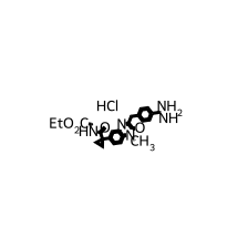 CCOC(=O)CNC(=O)C1(c2ccc3c(c2)nc(Cc2ccc(C(=N)N)cc2)c(=O)n3C)CC1.Cl